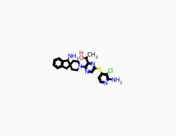 CC(O)c1nc(Sc2ccnc(N)c2Cl)cnc1N1CCC2(CC1)Cc1ccccc1[C@H]2N